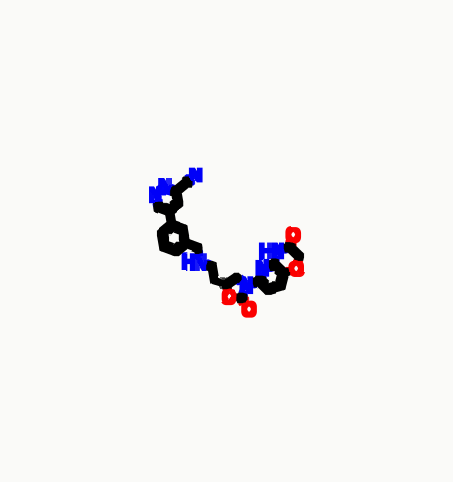 N#Cc1cc(-c2cccc(CNCC[C@H]3CN(c4ccc5c(n4)NC(=O)CO5)C(=O)O3)c2)cnn1